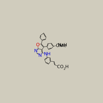 COc1ccc(-c2c(-c3ccccc3)oc3ncnc(Nc4cccc(/C=C/C(=O)O)c4)c23)cc1.[NaH]